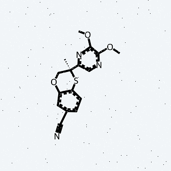 COc1ncc([C@]2(C)COc3cc(C#N)ccc3S2)nc1OC